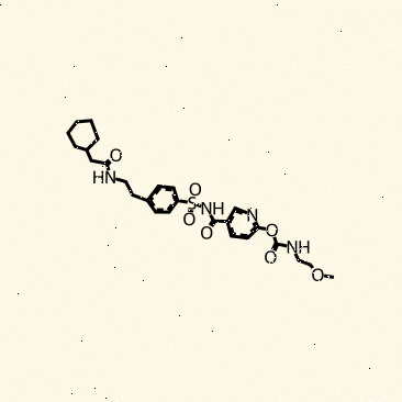 COCCNC(=O)Oc1ccc(C(=O)NS(=O)(=O)c2ccc(CCNC(=O)CC3CCCCC3)cc2)cn1